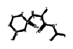 CC(C)OC(=O)[C@H](C)NP1(=O)CN(C)CCS1